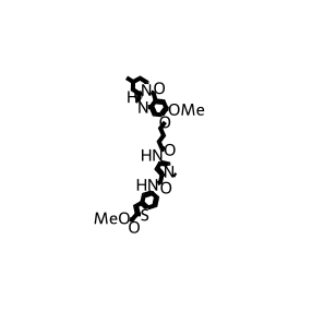 COC(=O)c1cc2cc(NC(=O)c3cc(NC(=O)CCCOc4cc5c(cc4OC)C(=O)N4CCC(C)C[C@H]4C=N5)cn3C)ccc2s1